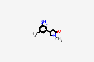 Cc1cc(N)cc(C2CC(=O)N(C)C2)c1